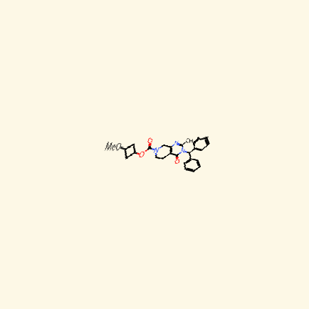 COC1CC(OC(=O)N2CCc3c(nc(C)n(C(c4ccccc4)c4ccccc4)c3=O)C2)C1